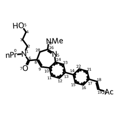 CCCN(CCCO)C(=O)C1=Cc2ccc(-c3ccc(/C=C/C(C)=O)cc3)cc2N=C(NC)C1